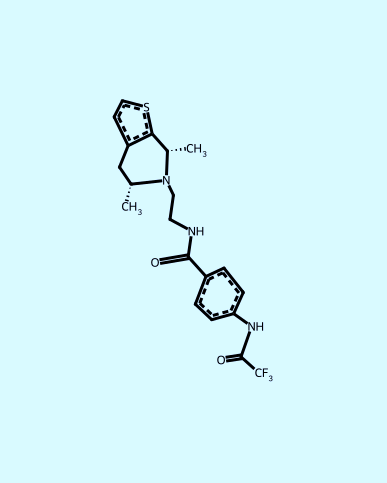 C[C@@H]1Cc2ccsc2[C@H](C)N1CCNC(=O)c1ccc(NC(=O)C(F)(F)F)cc1